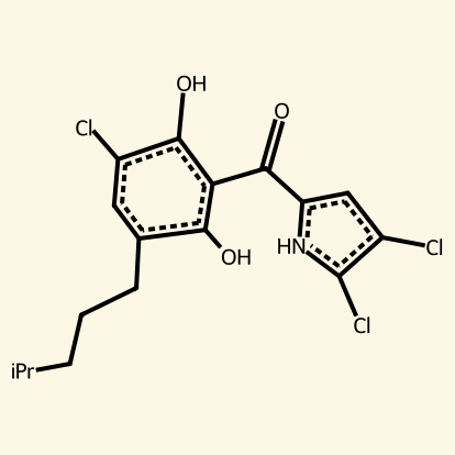 CC(C)CCCc1cc(Cl)c(O)c(C(=O)c2cc(Cl)c(Cl)[nH]2)c1O